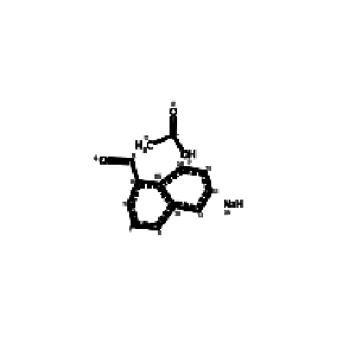 CC(=O)O.O=Cc1cccc2ccccc12.[NaH]